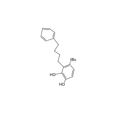 CC(C)(C)c1ccc(O)c(O)c1CCCCc1ccccc1